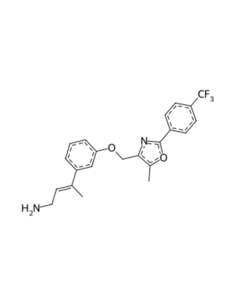 C/C(=C\CN)c1cccc(OCc2nc(-c3ccc(C(F)(F)F)cc3)oc2C)c1